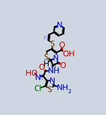 Nc1nc(/C(=N/O)C(=O)N[C@@H]2C(=O)N3C(C(=O)O)=C(S/C=C\c4cccnc4)CS[C@H]23)c(Cl)s1